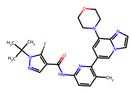 Cc1ccc(NC(=O)c2cnn(C(C)(C)C)c2F)nc1-c1cc(N2CCOCC2)c2nccn2c1